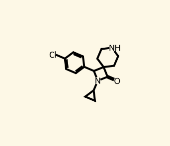 O=C1N(C2CC2)C(c2ccc(Cl)cc2)C12CCNCC2